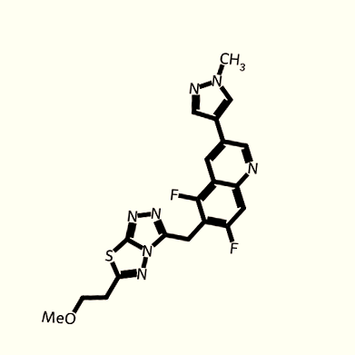 COCCc1nn2c(Cc3c(F)cc4ncc(-c5cnn(C)c5)cc4c3F)nnc2s1